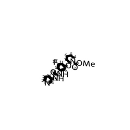 COC(=O)N1CCCCC1Oc1cc(F)cc(NC(=O)Nc2cccnc2)c1